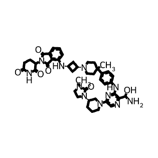 CN1CCN([C@H]2CCCN(c3cnc(C(N)O)c(Nc4ccc(C5(C)CCN([C@H]6C[C@@H](Nc7cccc8c7C(=O)N(C7CCC(=O)NC7=O)C8=O)C6)CC5)cc4)n3)C2)C1=O